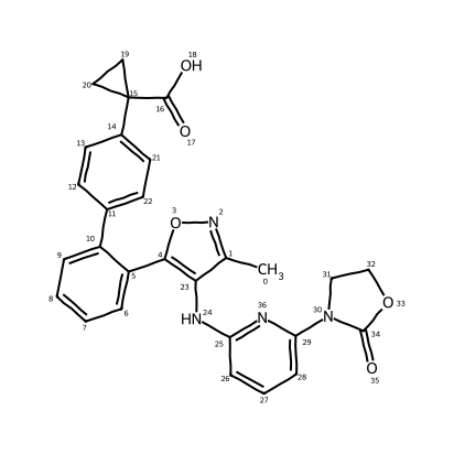 Cc1noc(-c2ccccc2-c2ccc(C3(C(=O)O)CC3)cc2)c1Nc1cccc(N2CCOC2=O)n1